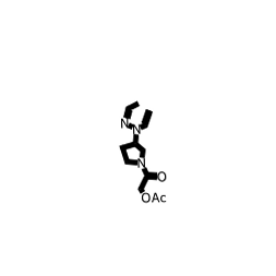 C=CN(/N=C\C)C1CCN(C(=O)COC(C)=O)C1